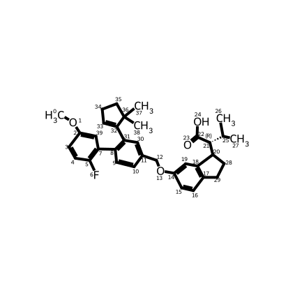 COc1ccc(F)c(-c2ccc(COc3ccc4c(c3)C([C@H](C(=O)O)C(C)C)CC4)cc2C2=CCCC2(C)C)c1